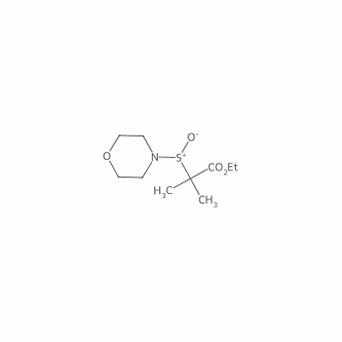 CCOC(=O)C(C)(C)[S+]([O-])N1CCOCC1